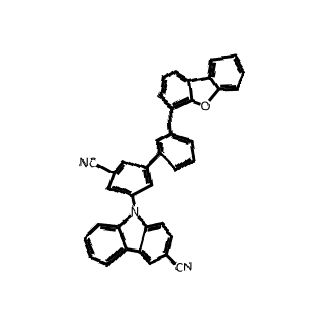 N#Cc1cc(-c2cccc(-c3cccc4c3oc3ccccc34)c2)cc(-n2c3ccccc3c3cc(C#N)ccc32)c1